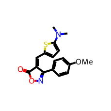 COc1ccc(C2=NOC(=O)/C2=C/c2ccc(N(C)C)s2)cc1